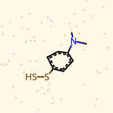 CN(C)c1ccc(SS)cc1